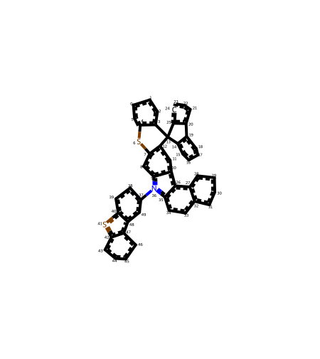 c1ccc2c(c1)Sc1cc3c(cc1C21c2ccccc2-c2ccccc21)c1c2ccccc2ccc1n3-c1ccc2sc3ccccc3c2c1